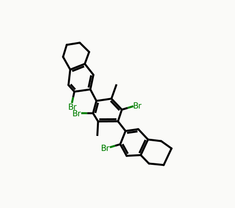 Cc1c(Br)c(-c2cc3c(cc2Br)CCCC3)c(C)c(Br)c1-c1cc2c(cc1Br)CCCC2